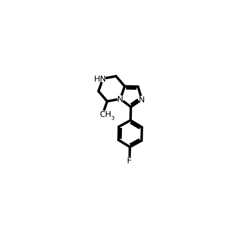 CC1CNCc2cnc(-c3ccc(F)cc3)n21